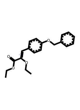 CCOC(=O)/C(=C/c1ccc(OCc2ccccc2)cc1)OCC